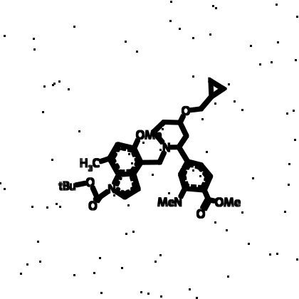 CNc1cc(C2CC(OCC3CC3)CCN2Cc2c(OC)cc(C)c3c2ccn3C(=O)OC(C)(C)C)ccc1C(=O)OC